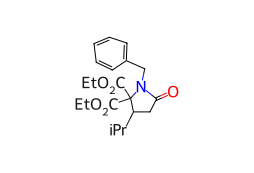 CCOC(=O)C1(C(=O)OCC)C(C(C)C)CC(=O)N1Cc1ccccc1